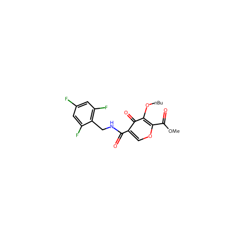 CCCCOc1c(C(=O)OC)occ(C(=O)NCc2c(F)cc(F)cc2F)c1=O